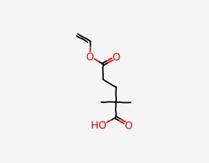 C=COC(=O)CCC(C)(C)C(=O)O